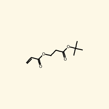 C=CC(=O)OCCC(=O)OC(C)(C)C